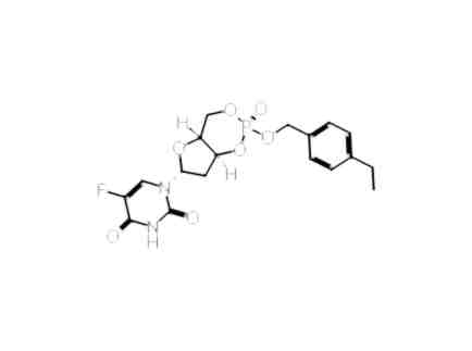 CCc1ccc(COP2(=O)OC[C@H]3O[C@@H](n4cc(F)c(=O)[nH]c4=O)C[C@@H]3O2)cc1